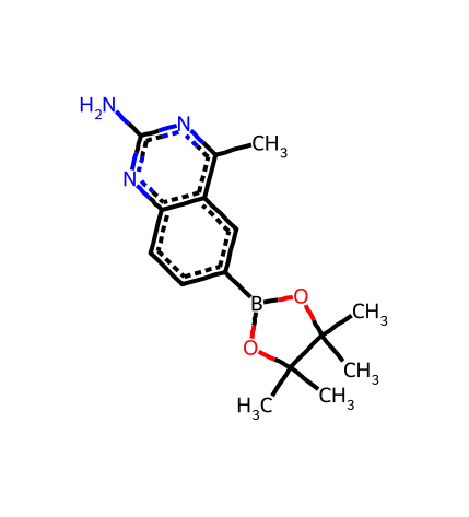 Cc1nc(N)nc2ccc(B3OC(C)(C)C(C)(C)O3)cc12